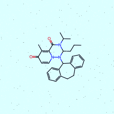 CCCC1N(C(C)C)C(=O)c2c(C)c(=O)ccn2N1C1c2ccccc2CCc2ccccc21